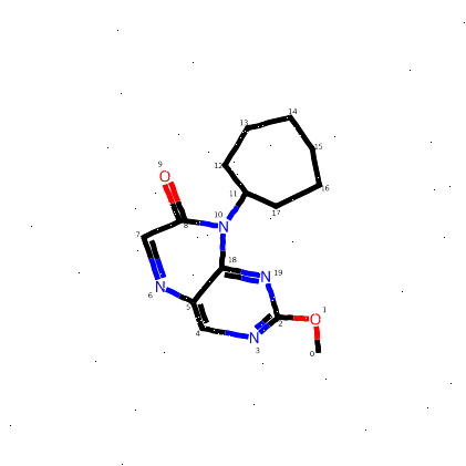 COc1ncc2ncc(=O)n(C3CCCCCC3)c2n1